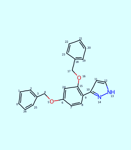 c1ccc(COc2ccc(-c3cc[nH]n3)c(OCc3ccccc3)c2)cc1